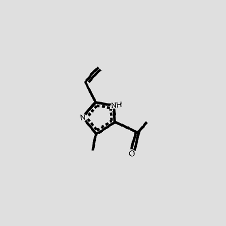 C=Cc1nc(C)c(C(C)=O)[nH]1